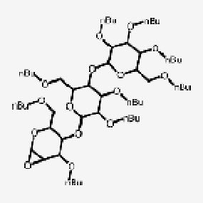 CCCCOCC1OC(OC2C(COCCCC)OC(OC3C(COCCCC)OC4OC4C3OCCCC)C(OCCCC)C2OCCCC)C(OCCCC)C(OCCCC)C1OCCCC